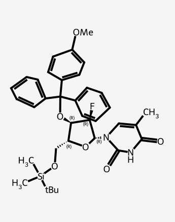 COc1ccc(C(O[C@H]2[C@@H](F)[C@H](n3cc(C)c(=O)[nH]c3=O)O[C@@H]2CO[Si](C)(C)C(C)(C)C)(c2ccccc2)c2ccccc2)cc1